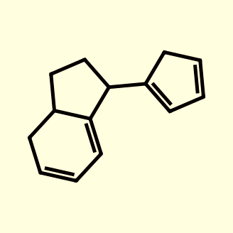 C1=CCC(C2CCC3CC=CC=C32)=C1